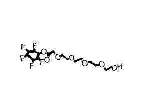 O=C(COCCOCCOCCOCCO)Oc1c(F)c(F)c(F)c(F)c1F